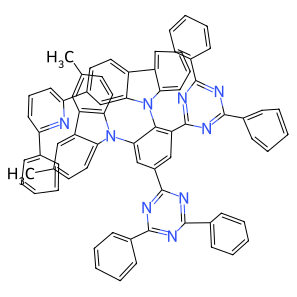 Cc1ccc2c(c1)c1cc(C)ccc1n2-c1cc(-c2nc(-c3ccccc3)nc(-c3ccccc3)n2)cc(-c2nc(-c3ccccc3)nc(-c3ccccc3)n2)c1-n1c2ccccc2c2ccc(-c3cccc(-c4ccccc4)n3)cc21